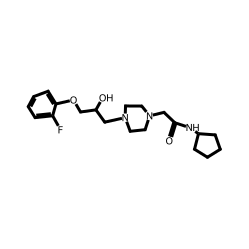 O=C(CN1CCN(CC(O)COc2ccccc2F)CC1)NC1CCCC1